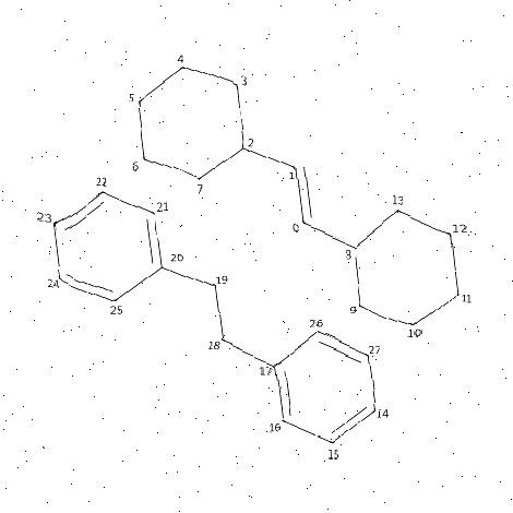 C(=CC1CCCCC1)C1CCCCC1.c1ccc(CCc2ccccc2)cc1